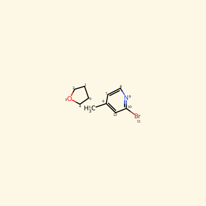 C1CCOC1.Cc1ccnc(Br)c1